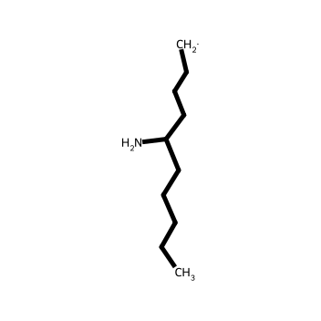 [CH2]CCCC(N)CCCCC